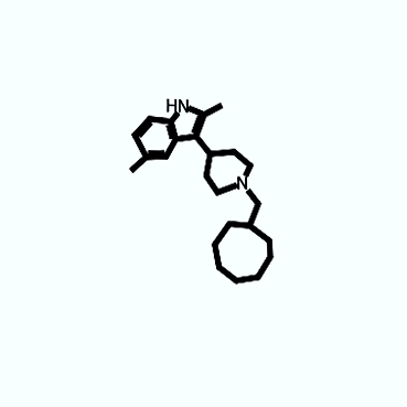 Cc1ccc2[nH]c(C)c(C3CCN(CC4CCCCCCC4)CC3)c2c1